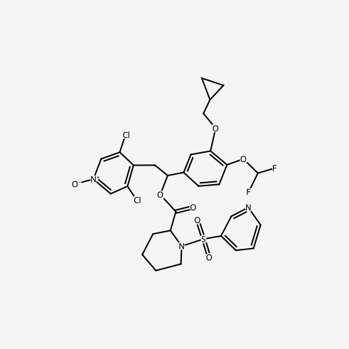 O=C(OC(Cc1c(Cl)c[n+]([O-])cc1Cl)c1ccc(OC(F)F)c(OCC2CC2)c1)C1CCCCN1S(=O)(=O)c1cccnc1